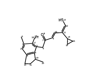 Cc1cc2c(c(CC(=O)/C=C/C(=C\S)C3CC3)c1C(C)C)C(C)CC2